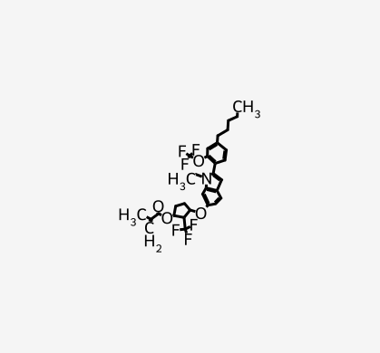 C=C(C)C(=O)OC1CCC(Oc2ccc3cc(-c4ccc(CCCCC)cc4OC(F)(F)F)n(CC)c3c2)C1C(F)(F)F